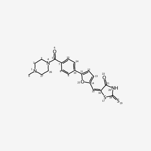 CN1CCN(C(=O)c2ccc(-c3ccc(/C=C4/SC(=S)NC4=O)o3)cc2)CC1